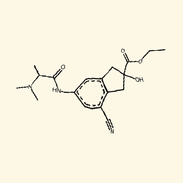 CCOC(=O)C1(O)Cc2cc(NC(=O)C(C)N(C)C)cc(C#N)c2C1